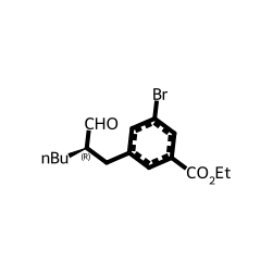 CCCC[C@@H](C=O)Cc1cc(Br)cc(C(=O)OCC)c1